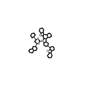 c1ccc(-c2cc(-c3ccc4ccccc4c3)nc(-n3c4ccc(-c5cccc6c5oc5ccccc56)cc4c4c5ccccc5c5c6ccccc6oc5c43)n2)cc1